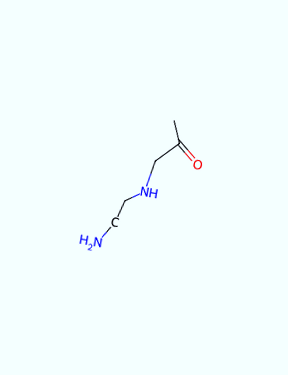 CC(=O)CNCCN